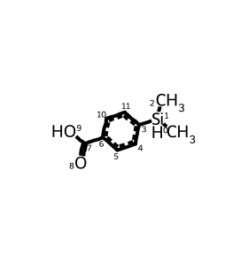 C[SiH](C)c1ccc(C(=O)O)cc1